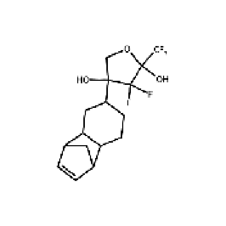 OC1(C2CCC3C4C=CC(C4)C3C2)COC(O)(C(F)(F)F)C1(F)F